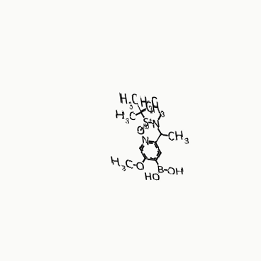 CCN(C(C)c1cc(B(O)O)c(OC)cn1)[S@@+]([O-])C(C)(C)C